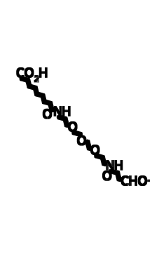 O=[C]CCC(=O)NCCCOCCOCCOCCCNC(=O)CCCCCCCCC(=O)O